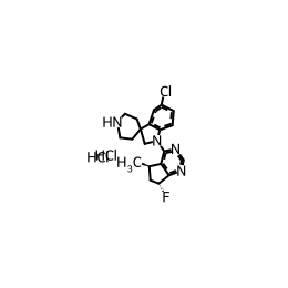 C[C@@H]1C[C@@H](F)c2ncnc(N3CC4(CCNCC4)c4cc(Cl)ccc43)c21.Cl.Cl